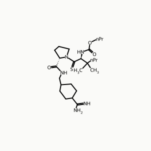 CCCOC(=O)N[C@H](C(=S)N1CCC[C@H]1C(=O)NCC1CCC(C(=N)N)CC1)C(C)(C)CCC